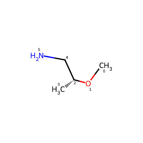 CO[C@H](C)CN